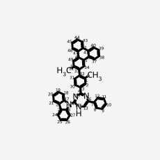 Cc1cc(C2=NC(c3ccccc3)=CNC(n3c4ccccc4c4ccccc43)=N2)ccc1-c1cc2c3ccccc3c3ccccc3c2cc1C